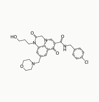 O=C(NCc1ccc(Cl)cc1)c1cn2c3c(cc(CN4CCOCC4)cc3c1=O)N(CCCO)C(=O)C2